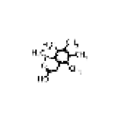 COc1c(C)c(C)c(C)c(C)c1CC(=O)O